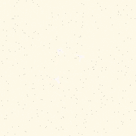 CC1(C)NC(C)(C)C(C(N)=O)C1CO[N+](=O)[O-]